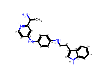 CC(N)c1cc(Nc2ccc(NCCc3c[nH]c4ccccc34)cc2)ccn1